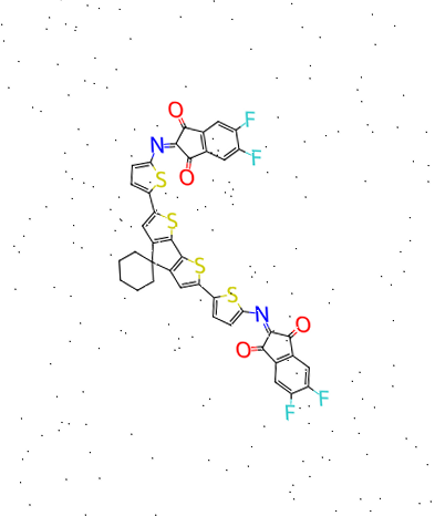 O=c1c(=Nc2ccc(-c3cc4c(s3)-c3sc(-c5ccc(N=c6c(=O)c7cc(F)c(F)cc7c6=O)s5)cc3C43CCCCC3)s2)c(=O)c2cc(F)c(F)cc12